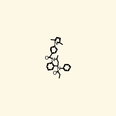 CCC(=O)N(c1ccccc1)C1CC(C)N(C(=O)c2ccc(-n3c(C)ccc3C)cc2)c2ccccc21